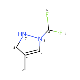 CC1=CN(C(F)F)NC1